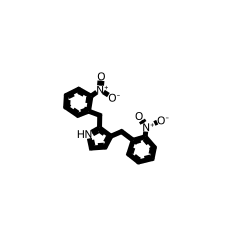 O=[N+]([O-])c1ccccc1Cc1cc[nH]c1Cc1ccccc1[N+](=O)[O-]